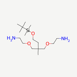 CC(CCO[Si](C)(C)C(C)(C)C)(COCCN)COCCN